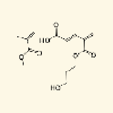 C=C(C)C(=O)OC.C=C(C=CC(=O)O)C(=O)OCCCO